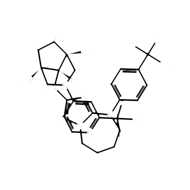 FC(F)(F)c1ccc(N2CCCCn3nc(N[C@H]4[C@@H]5CC[C@H]4CN(c4ccnc(C(F)(F)F)c4)C5)nc32)cc1